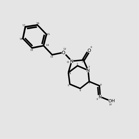 O=C1N2CC(CCC2C=NO)N1OCc1ccccc1